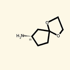 N[C@H]1CCC2(C1)OCCO2